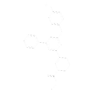 COc1ccc(Nc2cc(-c3ccccc3)nc(C3=CN(C(=O)OC(C)(C)C)CCC3)n2)cc1